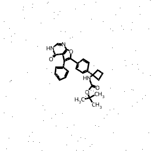 CC(C)(C)OC(=O)NC1(c2ccc(-c3oc4nc[nH]c(=O)c4c3-c3ccccc3)cc2)CCC1